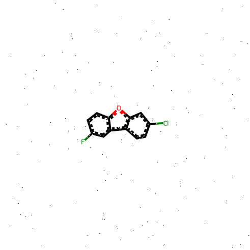 Fc1ccc2oc3cc(Cl)ccc3c2c1